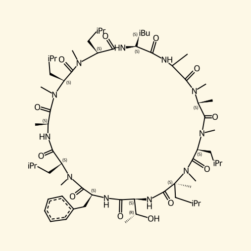 CC[C@H](C)[C@@H]1NC(=O)[C@H](CC(C)C)N(C)C(=O)[C@H](CC(C)C)N(C)C(=O)[C@H](C)NC(=O)[C@H](CC(C)C)N(C)C(=O)[C@H](Cc2ccccc2)NC(=O)[C@H]([C@@H](C)O)NC(=O)[C@](C)(CC(C)C)N(C)C(=O)[C@H](CC(C)C)N(C)C(=O)[C@H](C)N(C)C(=O)C(C)NC1=O